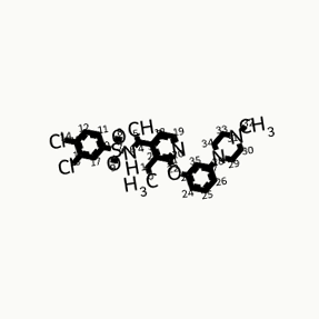 CCc1c(C(C)NS(=O)(=O)c2ccc(Cl)c(Cl)c2)ccnc1Oc1cccc(N2CCN(C)CC2)c1